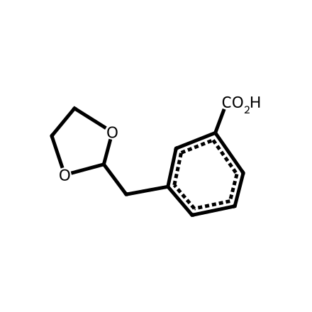 O=C(O)c1cccc(CC2OCCO2)c1